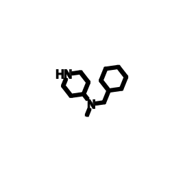 CN(CC1CCCCC1)C1CCNCC1